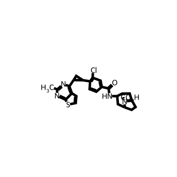 Cc1nc(C2CC2c2ccc(C(=O)NC3CCC4CCC(C3)N4C(=O)O)cc2Cl)c2ccsc2n1